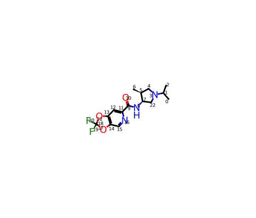 CC(C)N1C[C@H](C)[C@H](NC(=O)c2cc3c(cn2)OC(F)(F)O3)C1